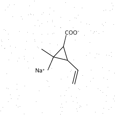 C=CC1C(C(=O)[O-])C1(C)C.[Na+]